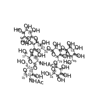 CC(=O)NC1[C@H](O[C@@H]2C(CO)O[C@@H](C)C(NC(C)=O)[C@H]2O)OC(CO)[C@@H](O[C@@H]2OC(CO[C@H]3OC(CO[C@H]4OC(CO)[C@@H](O)[C@H](O)C4O)[C@@H](O)[C@H](O[C@@H]4OC(CO)[C@H](O)C(O)[C@@H]4O)C3O)[C@@H](O)[C@H](O[C@@H]3OC(CO)[C@H](O)C(O)[C@@H]3O)C2O)[C@@H]1O